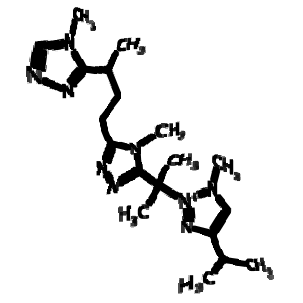 CC(C)c1cn(C)[n+](C(C)(C)c2nnc(CCC(C)c3nncn3C)n2C)n1